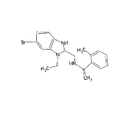 C=C(NCC1Nc2ccc(Br)cc2N1CC)c1ccccc1C